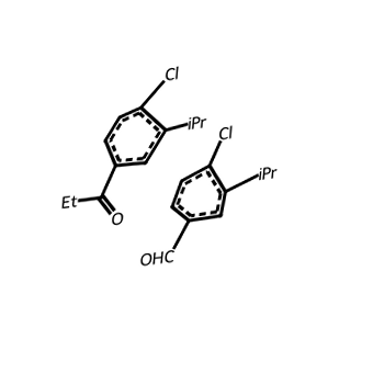 CC(C)c1cc(C=O)ccc1Cl.CCC(=O)c1ccc(Cl)c(C(C)C)c1